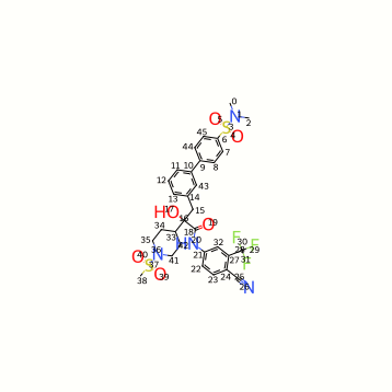 CN(C)S(=O)(=O)c1ccc(-c2cccc(CC(O)(C(=O)Nc3ccc(C#N)c(C(F)(F)F)c3)C3CCN(S(C)(=O)=O)CC3)c2)cc1